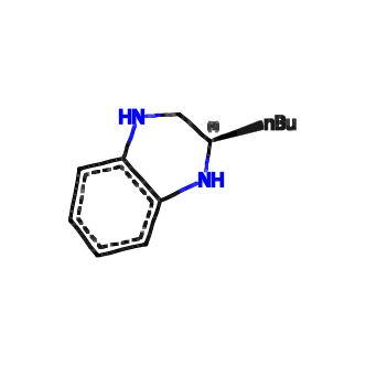 CCCC[C@@H]1CNc2ccccc2N1